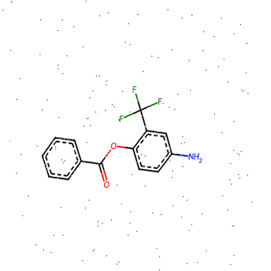 Nc1ccc(OC(=O)c2ccccc2)c(C(F)(F)F)c1